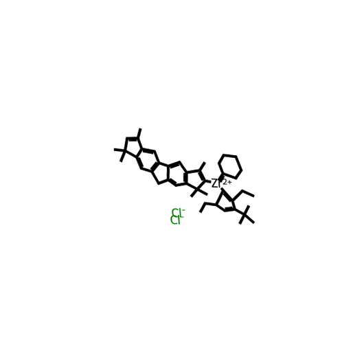 CCC1=[C]([Zr+2]([C]2=C(C)c3cc4c(cc3C2(C)C)Cc2cc3c(cc2-4)C(C)=CC3(C)C)=[C]2CCCCC2)C(CC)C=C1C(C)(C)C.[Cl-].[Cl-]